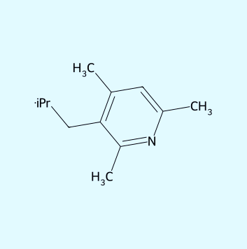 C[C](C)Cc1c(C)cc(C)nc1C